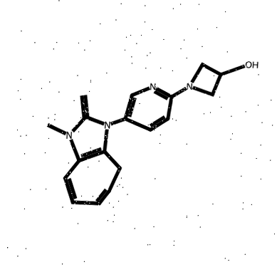 C=C1N(C)C2=C(CC=CC=C2)N1c1ccc(N2CC(O)C2)nc1